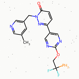 Cc1cncc(Cn2nc(-c3cnc(OCC(F)(F)P)nc3)ccc2=O)c1